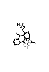 C=CCc1cccc2c1C(=O)c1ccccc1C2=O.CC(=O)O